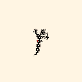 C=C(C)C(=O)OCCCc1cc(-c2ccc(C3C=CC(C4CCC(CCCC)CC4)=CC3)cc2CC)cc(CCCOC(=O)C(=C)C)c1OCCC(CC)(CO)CO